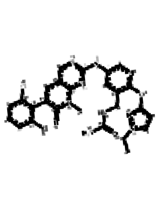 CCn1ccc(Oc2ncc(Nc3ncc4cc(-c5c(Cl)cccc5Cl)c(=O)n(C)c4n3)cc2CNC(N)=O)n1